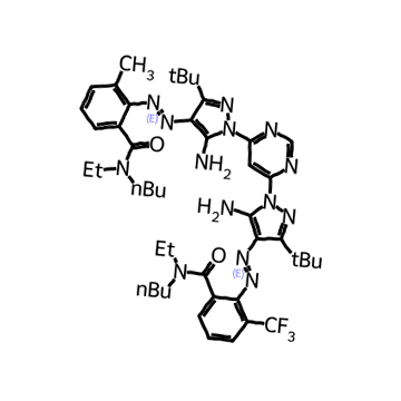 CCCCN(CC)C(=O)c1cccc(C)c1/N=N/c1c(C(C)(C)C)nn(-c2cc(-n3nc(C(C)(C)C)c(/N=N/c4c(C(=O)N(CC)CCCC)cccc4C(F)(F)F)c3N)ncn2)c1N